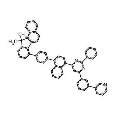 CC1(C)c2cccc(-c3ccc(-c4ccc(-c5cc(-c6cccc(-c7cccnc7)c6)nc(-c6ccccc6)n5)c5ccccc45)cc3)c2-c2ccc3ccccc3c21